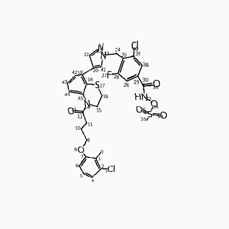 Cc1c(Cl)cccc1OCCCC(=O)N1CCSc2c(-c3cnn(Cc4c(F)cc(C(=O)NOS(C)(=O)=O)cc4Cl)c3)cccc21